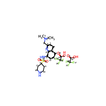 CN(C)Cc1ccc2cccc(NS(=O)(=O)C3CCNCC3)c2n1.O=C(O)C(F)(F)F.O=C(O)C(F)(F)F